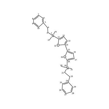 C[Si](C)(CCc1ccccc1)c1ccc(-c2ccc([Si](C)(C)CCc3ccccc3)o2)o1